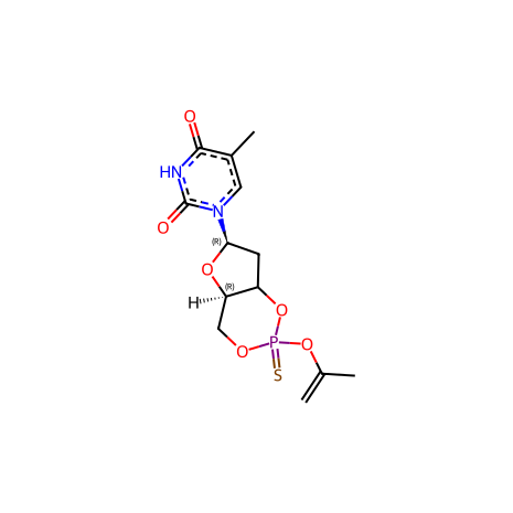 C=C(C)OP1(=S)OC[C@H]2O[C@@H](n3cc(C)c(=O)[nH]c3=O)CC2O1